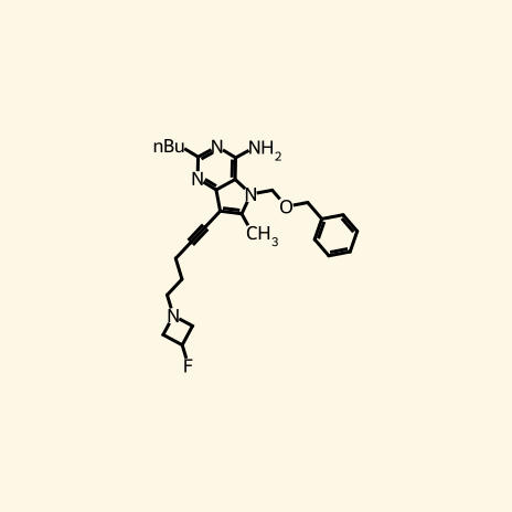 CCCCc1nc(N)c2c(n1)c(C#CCCCN1CC(F)C1)c(C)n2COCc1ccccc1